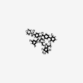 O=C(Cn1nc(C(F)F)c2c1C(F)(F)[C@@H]1C[C@H]21)N[C@@H](Cc1cc(F)cc(F)c1)c1nc2cc(-c3c(F)cccc3F)ccc2c(=O)n1-c1ccc(S(=O)(=O)N2CCOCC2)cc1